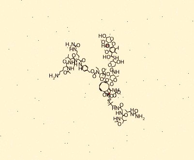 CCN(C(=O)OCc1ccc(NC(=O)[C@H](CCCNC(N)=O)NC(=O)[C@@H](NC(=O)[C@H](CCCCN)NC(C)=O)C(C)C)cc1)[C@H]1CO[C@@H](O[C@H]2[C@H](O[C@H]3C#CC=CC#C[C@@]4(O)CC(=O)C(NC(=O)OC)=C3C4C=CSSC(C)(C)CCNC(=O)[C@H](CCCNC(N)=O)NC(=O)[C@@H](NC(C)=O)C(C)C)O[C@H](C)[C@@H](NO[C@H]3C[C@H](O)[C@H]([SH]=C(O)c4c(C)c(I)c(O[C@@H]5O[C@@H](C)[C@H](O)[C@@H](OC)[C@H]5O)c(OC)c4OC)[C@@H](C)O3)[C@@H]2O)C[C@@H]1OC